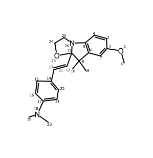 COc1ccc2c(c1)C(C)(C)C1(/C=C/c3ccc(N(C)C)cc3)OCCN21